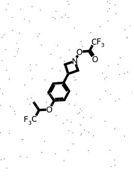 CC(Oc1ccc(C2CN(OC(=O)C(F)(F)F)C2)cc1)C(F)(F)F